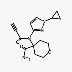 C#CC(=O)N(c1ccn(C2CC2)n1)C1(C(N)=O)CCOCC1